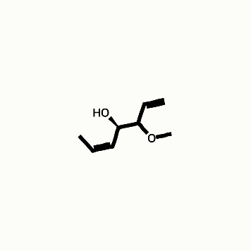 C=CC(OC)[C@H](O)/C=C\C